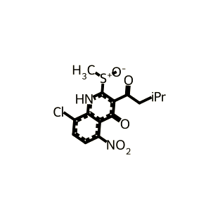 CC(C)CC(=O)c1c([S+](C)[O-])[nH]c2c(Cl)ccc([N+](=O)[O-])c2c1=O